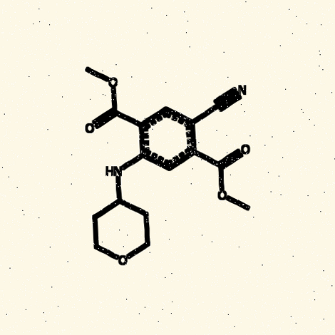 COC(=O)c1cc(NC2CCOCC2)c(C(=O)OC)cc1C#N